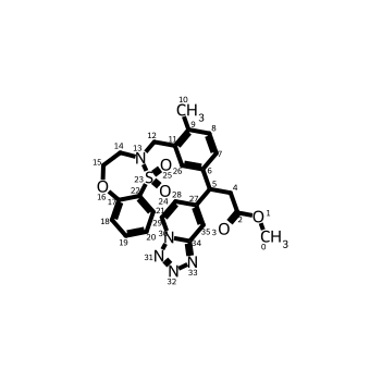 COC(=O)CC(c1ccc(C)c(CN2CCOc3ccccc3S2(=O)=O)c1)c1ccn2nnnc2c1